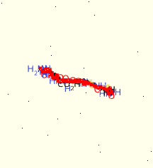 Nc1nc(O)c2nc(CNc3ccc(C(=O)N[C@@H](CCC(=O)NCCOCCOCc4cn(CCSSCCNC(=O)CCCC[C@@H]5SC[C@@H]6NC(=O)N[C@@H]65)nn4)C(=O)O)cc3)cnc2n1